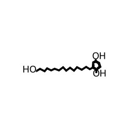 OCCCCCCCCCCCCCCCc1cc(O)ccc1O